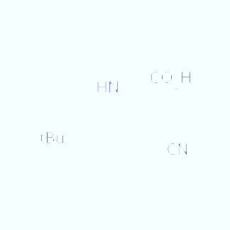 CC(C)(C)C(CC#N)NC(=O)O